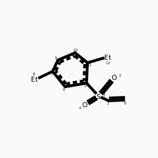 C=CS(=O)(=O)c1cc(CC)ccc1CC